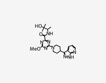 COc1nc(C(=O)NC(C)C(C)(C)O)nc(N2CCC(c3n[nH]c4ncccc34)CC2)n1